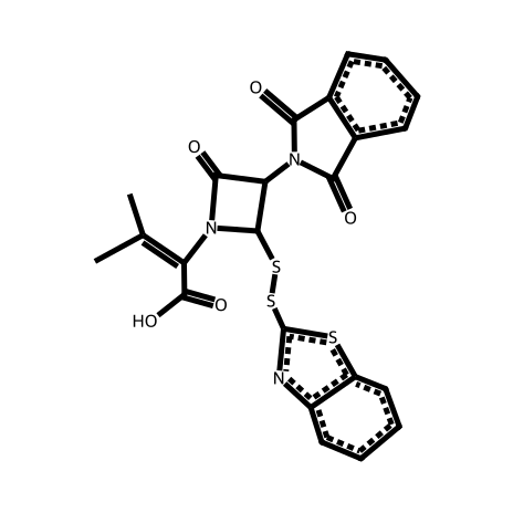 CC(C)=C(C(=O)O)N1C(=O)C(N2C(=O)c3ccccc3C2=O)C1SSc1nc2ccccc2s1